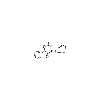 CC(=O)OC(C(=O)NCc1ccccc1)c1ccccc1